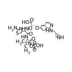 CC1(C)[C@H](NC(=O)C(NO[C@@H](COc2ccc3c(NCC4CNC4)nccc3c2)C(=O)O)c2csc(N)n2)C(=O)N1OS(=O)(=O)O